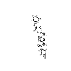 O=C(Nc1nnc(NC2CCN(Cc3ccccc3)CC2)s1)c1ccc(I)cc1